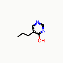 CCCc1cncnc1O